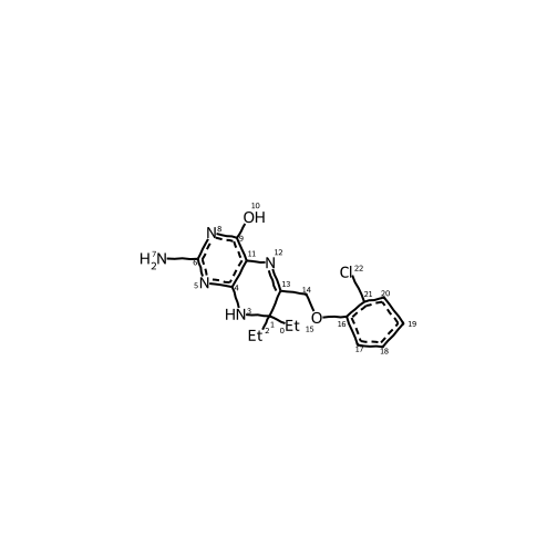 CCC1(CC)Nc2nc(N)nc(O)c2N=C1COc1ccccc1Cl